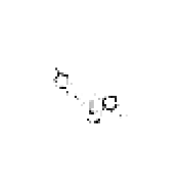 COc1cccc(OC)c1-n1cnnc1NSCCc1ncc(Cl)cn1